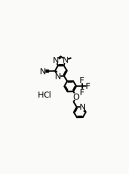 Cl.Cn1cnc2c(C#N)nc(-c3ccc(OCc4ccccn4)c(C(F)(F)F)c3)cc21